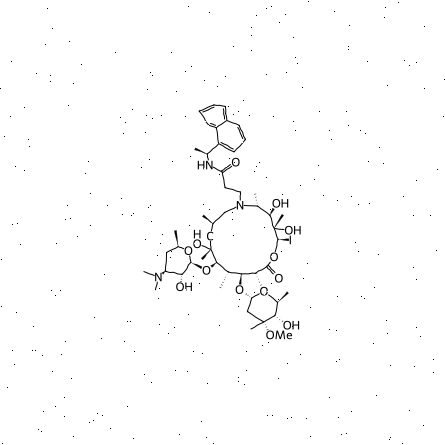 CO[C@]1(C)C[C@H](O[C@H]2[C@H](C)[C@@H](O[C@@H]3O[C@H](C)C[C@H](N(C)C)[C@H]3O)[C@](C)(O)C[C@@H](C)CN(CCC(=O)N[C@@H](C)c3cccc4ccccc34)[C@H](C)[C@@H](O)[C@](C)(O)[C@@H](I)OC(=O)[C@@H]2C)O[C@@H](C)[C@@H]1O